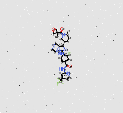 C[C@H]1CC[C@@H](C2=C3C=NC=C[N+]3(N)C(c3ccc(C(=O)Nc4cc(C(F)(F)F)ccn4)cc3F)=N2)CN1C(=O)C1(C)COC1